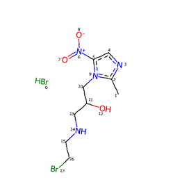 Br.Cc1ncc([N+](=O)[O-])n1CC(O)CNCCBr